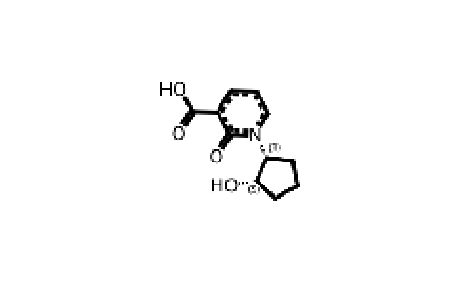 O=C(O)c1cccn([C@@H]2CCC[C@@H]2O)c1=O